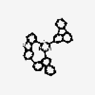 c1ccc(-c2ccc3oc4cccc(-c5nc(-c6ccc7ccccc7c6)nc(-c6cc7c8c(cccc8c6)-c6ccccc6-7)n5)c4c3c2)cc1